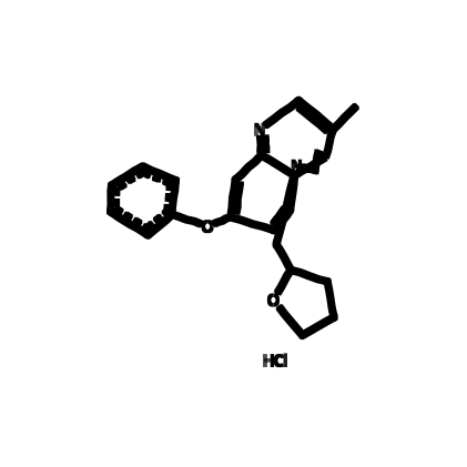 CC1=CN=C2C=C(Oc3ccccc3)C=CC23C1CCN3CC1CCCO1.Cl